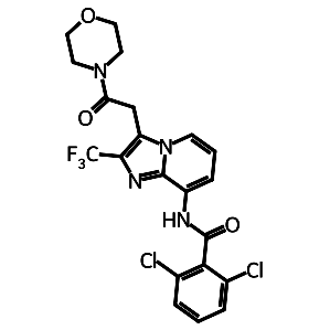 O=C(Nc1cccn2c(CC(=O)N3CCOCC3)c(C(F)(F)F)nc12)c1c(Cl)cccc1Cl